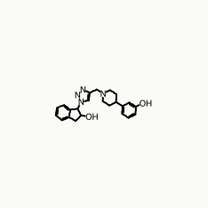 Oc1cccc(C2CCN(Cc3cn(C4c5ccccc5CC4O)nn3)CC2)c1